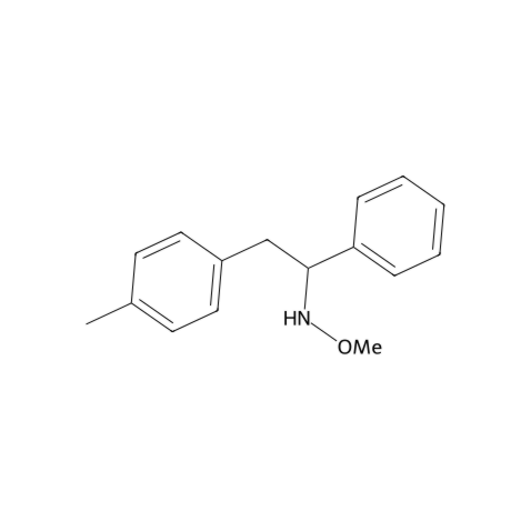 CONC(Cc1ccc(C)cc1)c1ccccc1